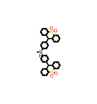 C[SiH](c1ccc(C2c3ccccc3S(=O)(=O)c3ccccc32)cc1)c1ccc(C2c3ccccc3S(=O)(=O)c3ccccc32)cc1